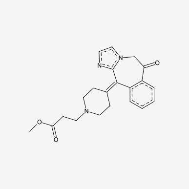 COC(=O)CCN1CCC(=C2c3ccccc3C(=O)Cn3ccnc32)CC1